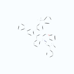 C=N/C(=N\C(=N/c1ccccc1/C(=C\C=C\C)c1cc(C)c(-c2ccccc2C)cc1-c1ccc2c(c1)C(C)(C)c1ccccc1-2)c1ccccc1)c1ccccc1